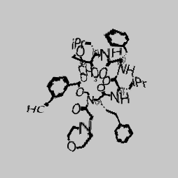 C#Cc1cccc(C(=O)OCN(C(=O)CN2CCOCC2)[C@@H](CCc2ccccc2)C(=O)N[C@@H](CC(C)C)C(=O)N[C@@H](Cc2ccccc2)C(=O)N[C@@H](CC(C)C)C(=O)[C@]2(C)CO2)c1